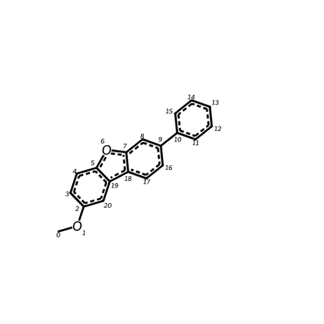 COc1ccc2oc3cc(-c4ccccc4)ccc3c2c1